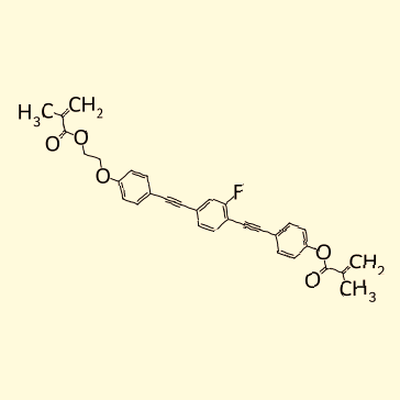 C=C(C)C(=O)OCCOc1ccc(C#Cc2ccc(C#Cc3ccc(OC(=O)C(=C)C)cc3)c(F)c2)cc1